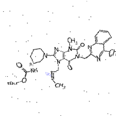 C/C=C\Cn1c(N2CCC[C@@H](NC(=O)OC(C)(C)C)C2)nc2c1c(=O)n(Cc1nc(C)c3ccccc3n1)c(=O)n2C